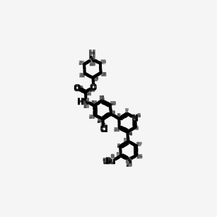 CC(C)(C)c1cc(-c2cncc(-c3ccc(NC(=O)OC4CCNCC4)cc3Cl)c2)ccn1